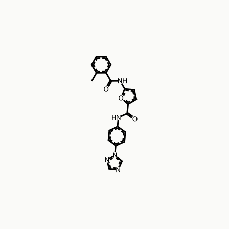 Cc1ccccc1C(=O)Nc1ccc(C(=O)Nc2ccc(-n3cncn3)cc2)o1